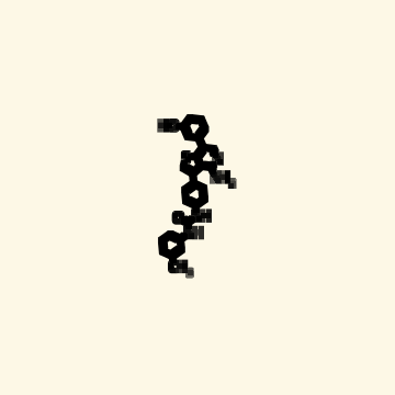 Cc1cccc(NC(=O)Nc2ccc(-c3csc4c(-c5cccc(O)c5)cnc(N)c34)cc2)c1